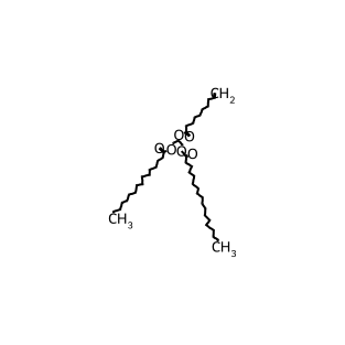 C=CCCCCCCCC(=O)OC(COC(=O)CCCCCCCCCCCCCCC)COC(=O)CCCCCCCCCCCCCCCCC